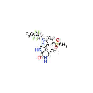 Cc1c[nH]c(=O)c2[nH]cc(-c3cc(S(C)(=O)=O)ccc3NCC(F)(F)C(F)(F)C(F)(F)F)c12